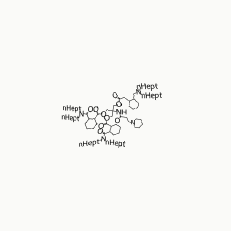 CCCCCCCN(CCCCCCC)CC1CCCCC1CC(=O)OCC(COC(=O)C1CCCCC1C(=O)N(CCCCCCC)CCCCCCC)(COC(=O)C1CCCCC1C(=O)N(CCCCCCC)CCCCCCC)NC(=O)CCN1CCCCC1